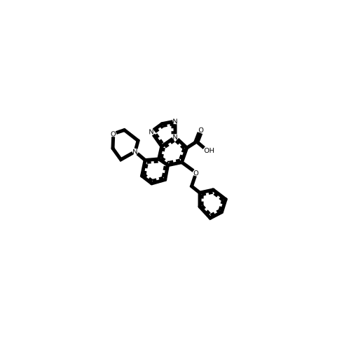 O=C(O)c1c(OCc2ccccc2)c2cccc(N3CCOCC3)c2c2ncnn12